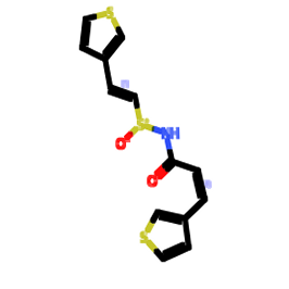 O=C(/C=C\c1ccsc1)N[S+]([O-])/C=C/c1ccsc1